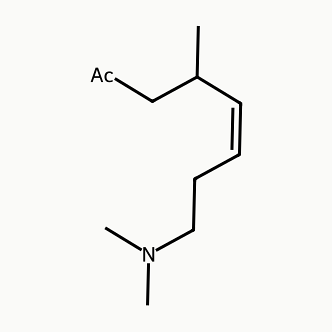 CC(=O)CC(C)/C=C\CCN(C)C